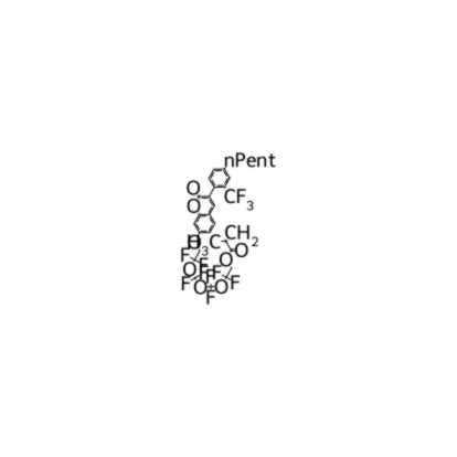 C=C(C)C(=O)OCC(F)(F)OC(F)(F)OC(F)(F)OC(F)(F)COc1ccc2cc(-c3ccc(CCCCC)cc3C(F)(F)F)c(=O)oc2c1